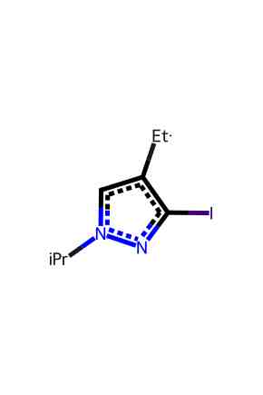 C[CH]c1cn(C(C)C)nc1I